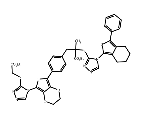 CCOC(=O)CSc1nncn1-c1sc(-c2ccc(CC(C)(Sc3nncn3-c3sc(-c4ccccc4)c4c3CCCC4)C(=O)OCC)cc2)c2c1OCCO2